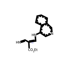 CCOC(=O)/C(C=N)=C/Nc1cncc2ccccc12